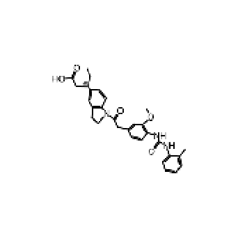 CC[C@H](CC(=O)O)c1ccc2c(c1)CCN2C(=O)Cc1ccc(NC(=O)Nc2ccccc2C)c(OC)c1